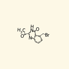 CC(=O)c1nc2cccc(CBr)c2c(=O)[nH]1